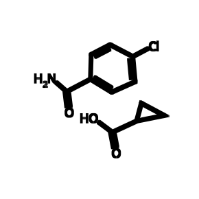 NC(=O)c1ccc(Cl)cc1.O=C(O)C1CC1